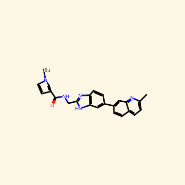 Cc1ccc2ccc(-c3ccc4nc(CNC(=O)c5ccn(C(C)(C)C)c5)[nH]c4c3)cc2n1